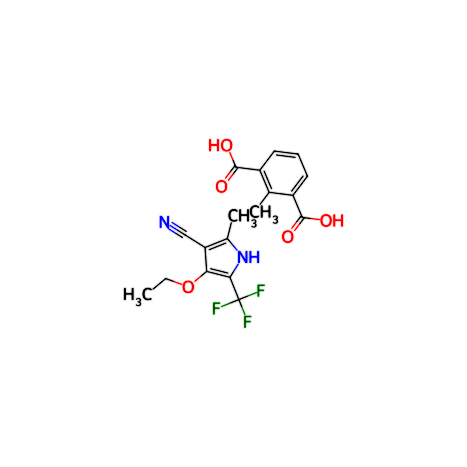 CCOc1c(C(F)(F)F)[nH]c(C)c1C#N.Cc1c(C(=O)O)cccc1C(=O)O